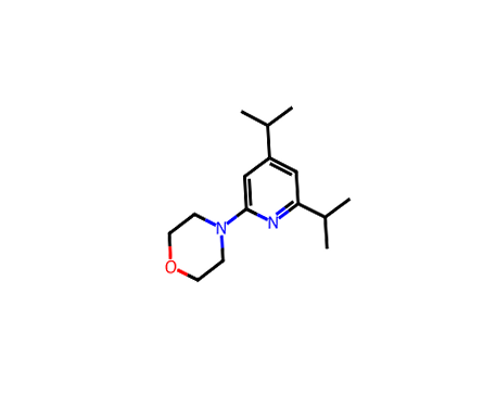 CC(C)c1cc(C(C)C)nc(N2CCOCC2)c1